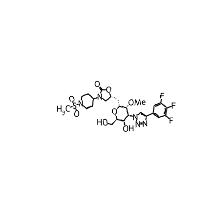 CO[C@@H]1[C@@H](n2cc(-c3cc(F)c(F)c(F)c3)nn2)[C@@H](O)[C@@H](CO)O[C@@H]1C[C@@H]1CN(C2CCN(S(C)(=O)=O)CC2)C(=O)O1